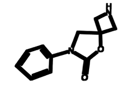 O=C1OC2(CNC2)CN1c1ccccc1